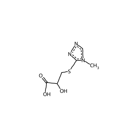 Cn1cnnc1SCC(O)C(=O)O